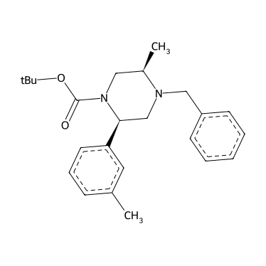 Cc1cccc([C@@H]2CN(Cc3ccccc3)[C@H](C)CN2C(=O)OC(C)(C)C)c1